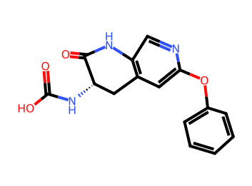 O=C(O)N[C@H]1Cc2cc(Oc3ccccc3)ncc2NC1=O